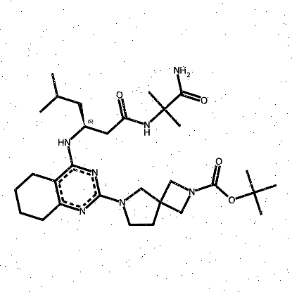 CC(C)C[C@@H](CC(=O)NC(C)(C)C(N)=O)Nc1nc(N2CCC3(CN(C(=O)OC(C)(C)C)C3)C2)nc2c1CCCC2